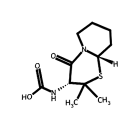 CC1(C)S[C@H]2CCCCN2C(=O)[C@H]1NC(=O)O